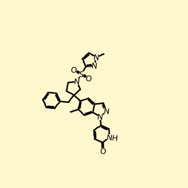 Cc1cc2c(cnn2-c2ccc(=O)[nH]c2)cc1C1(Cc2ccccc2)CCN(S(=O)(=O)c2ccn(C)n2)C1